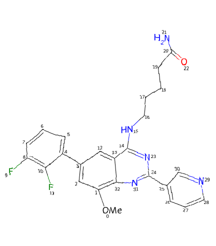 COc1cc(-c2cccc(F)c2F)cc2c(NCCCCC(N)=O)nc(-c3cccnc3)nc12